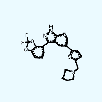 FC1(F)Oc2cccc(-c3n[nH]c4ncc(-c5ccc(CN6CCCC6)s5)cc34)c2O1